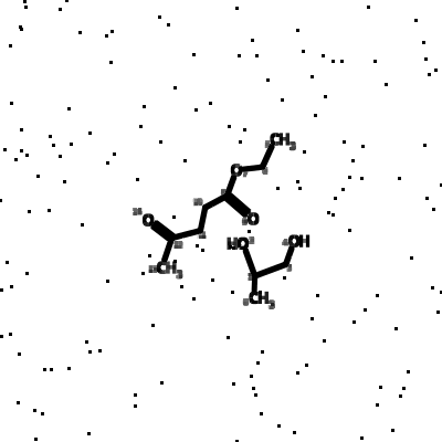 CC(O)CO.CCOC(=O)CCC(C)=O